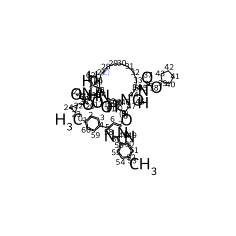 Cc1ccc(-c2cc(O[C@@H]3C[C@H]4C(=O)N[C@]5(C(=O)NS(=O)(=O)C6CC6)C[C@H]5/C=C\CCCCC[C@H](NC(=O)OC5CCCC5)C(=O)N4C3)n3nc4cc(C)ccc4c3n2)cc1